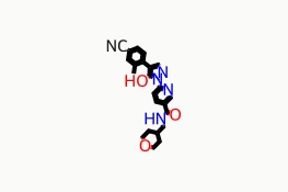 Cc1cc(C#N)ccc1-c1cnn(-c2ccc(C(=O)NCC3CCOCC3)cn2)c1O